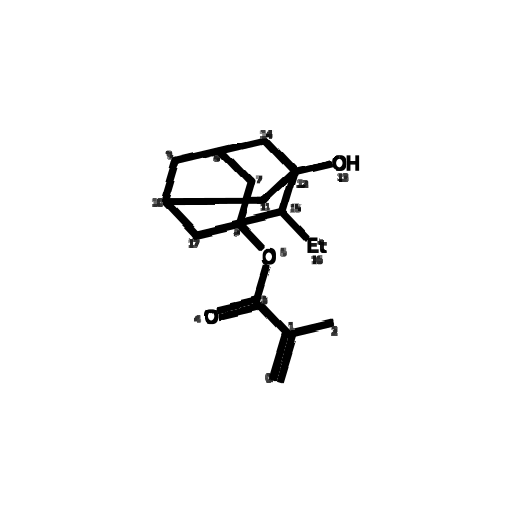 C=C(C)C(=O)OC12CC3CC(CC(O)(C3)C1CC)C2